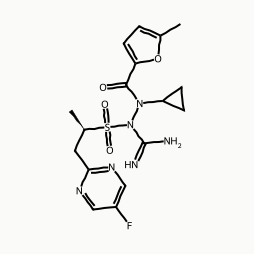 Cc1ccc(C(=O)N(C2CC2)N(C(=N)N)S(=O)(=O)[C@H](C)Cc2ncc(F)cn2)o1